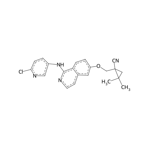 CC1(C)CC1(C#N)COc1ccc2c(Nc3ccc(Cl)nc3)nccc2c1